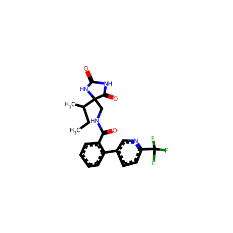 CCC(C)C1(CNC(=O)c2ccccc2-c2ccc(C(F)(F)F)nc2)NC(=O)NC1=O